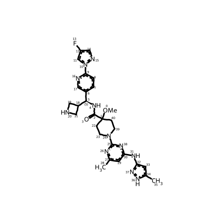 COC1(C(=O)N[C@H](c2ccc(-n3cc(F)cn3)nc2)C2CNC2)CCN(c2nc(C)cc(Nc3cc(C)[nH]n3)n2)CC1